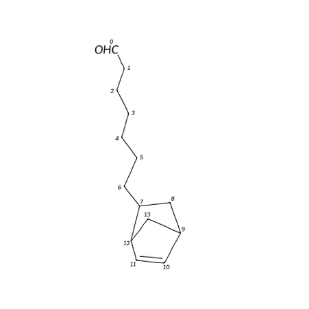 O=CCCCCCCC1CC2C=CC1C2